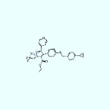 CCOC(=O)c1c(-c2ccc(OCc3ccc(C4CC4)cc3)cc2)c(-c2ccncc2)nn1CC1(N)CC1